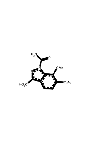 COc1ccc2c(C(=O)O)nn(C(N)=O)c2c1OC